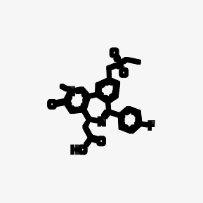 CCS(=O)(=O)Cc1ccc2c(c1)-c1cn(C)c(=O)cc1[C@H](CC(=O)O)N=C2c1ccc(F)cc1